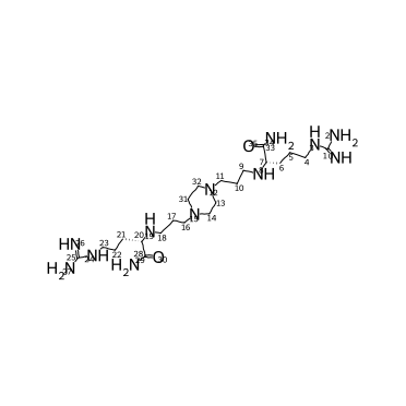 N=C(N)NCCC[C@H](NCCCN1CCN(CCCN[C@@H](CCCNC(=N)N)C(N)=O)CC1)C(N)=O